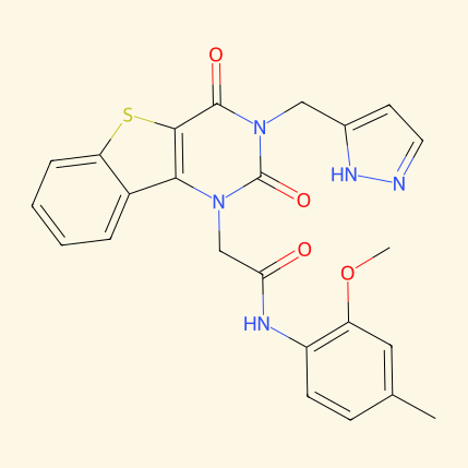 COc1cc(C)ccc1NC(=O)Cn1c(=O)n(Cc2ccn[nH]2)c(=O)c2sc3ccccc3c21